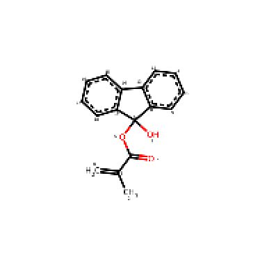 C=C(C)C(=O)OC1(O)c2ccccc2-c2ccccc21